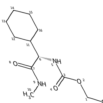 CCOC(=O)N[C@H](C(=O)NC)C1CCCCC1